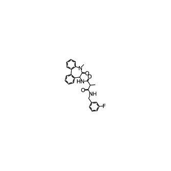 CC(C(=O)NCc1cccc(F)c1)C(=O)NC1C(=O)N(C)c2ccccc2-c2ccccc21